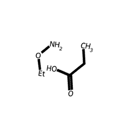 CCC(=O)O.CCON